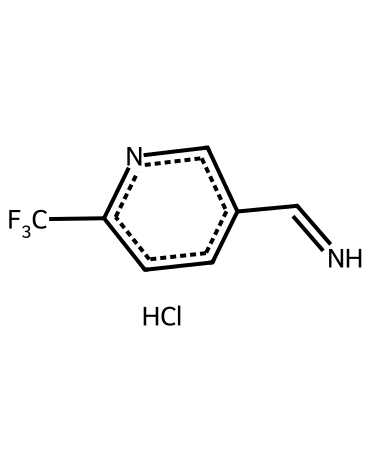 Cl.N=Cc1ccc(C(F)(F)F)nc1